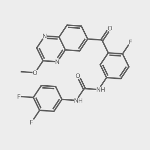 COc1cnc2ccc(C(=O)c3cc(NC(=O)Nc4ccc(F)c(F)c4)ccc3F)cc2n1